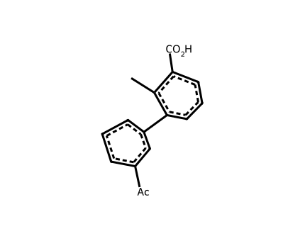 CC(=O)c1cccc(-c2cccc(C(=O)O)c2C)c1